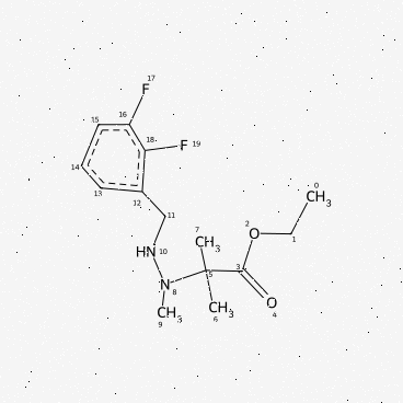 CCOC(=O)C(C)(C)N(C)NCc1cccc(F)c1F